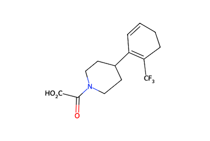 O=C(O)C(=O)N1CCC(C2=C(C(F)(F)F)CCC=C2)CC1